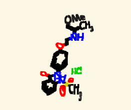 COCC(C)NCCOc1ccc(NC(=O)c2ccccc2NS(C)(=O)=O)cc1.Cl